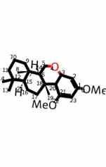 COC1=CC2OC[C@@H]3[C@@]4(C)CCCC(C)(C)[C@@H]4CC[C@@]3(C)C2C(OC)=C1